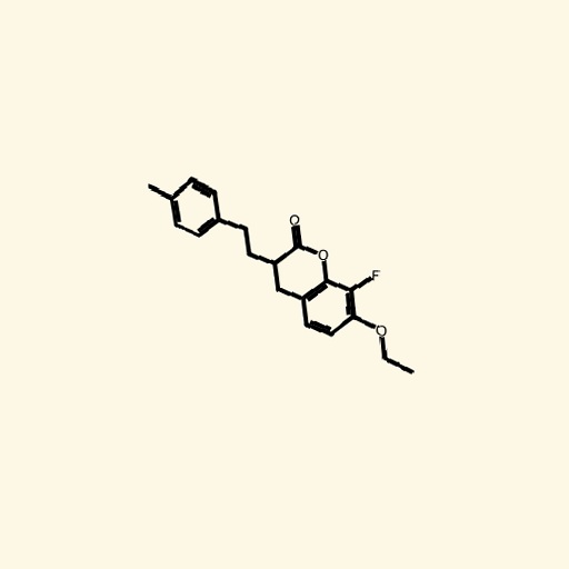 CCOc1ccc2c(c1F)OC(=O)C(CCc1ccc(C)cc1)C2